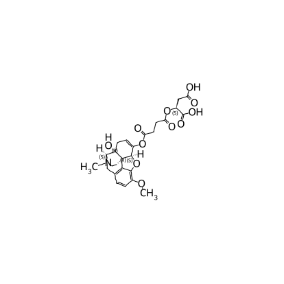 COc1ccc2c3c1O[C@@H]1C(OC(=O)CCC(=O)O[C@@H](CC(=O)O)C(=O)O)=CC[C@]4(O)[C@H](C2)N(C)CC[C@@]314